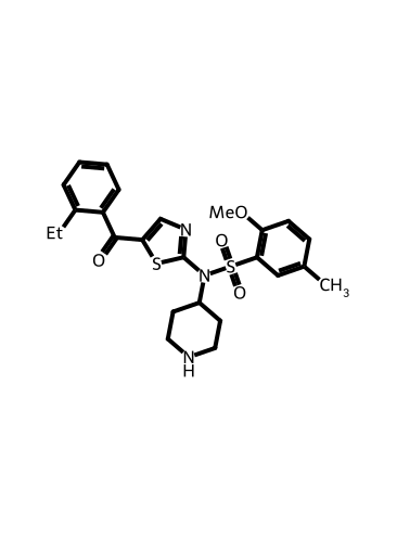 CCc1ccccc1C(=O)c1cnc(N(C2CCNCC2)S(=O)(=O)c2cc(C)ccc2OC)s1